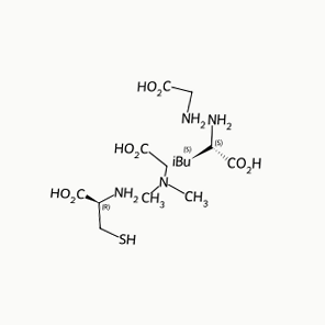 CC[C@H](C)[C@H](N)C(=O)O.CN(C)CC(=O)O.NCC(=O)O.N[C@@H](CS)C(=O)O